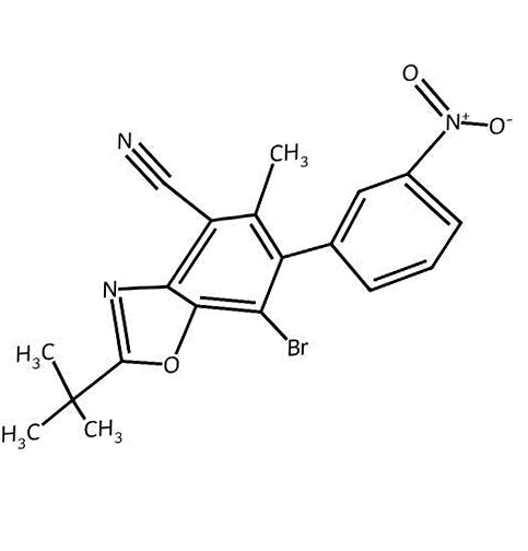 Cc1c(-c2cccc([N+](=O)[O-])c2)c(Br)c2oc(C(C)(C)C)nc2c1C#N